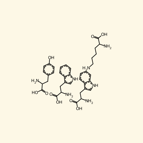 NC(Cc1c[nH]c2ccccc12)C(=O)O.NC(Cc1c[nH]c2ccccc12)C(=O)O.NC(Cc1ccc(O)cc1)C(=O)O.NCCCCC(N)C(=O)O